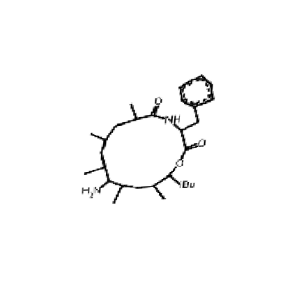 CCC(C)C1OC(=O)C(Cc2ccccc2)NC(=O)C(C)CC(C)CC(C)C(N)C(C)CC1C